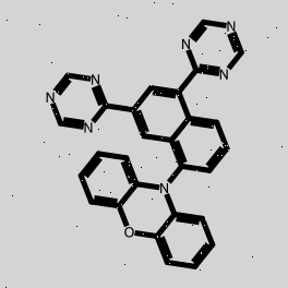 c1ccc2c(c1)Oc1ccccc1N2c1cccc2c(-c3ncncn3)cc(-c3ncncn3)cc12